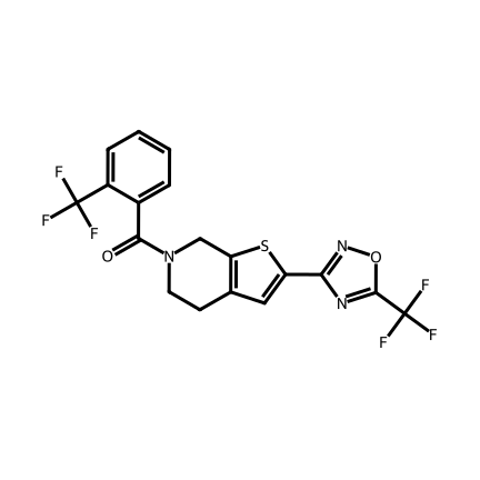 O=C(c1ccccc1C(F)(F)F)N1CCc2cc(-c3noc(C(F)(F)F)n3)sc2C1